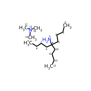 CCCCC(N)(CCCC)CCCC.CN(C)C